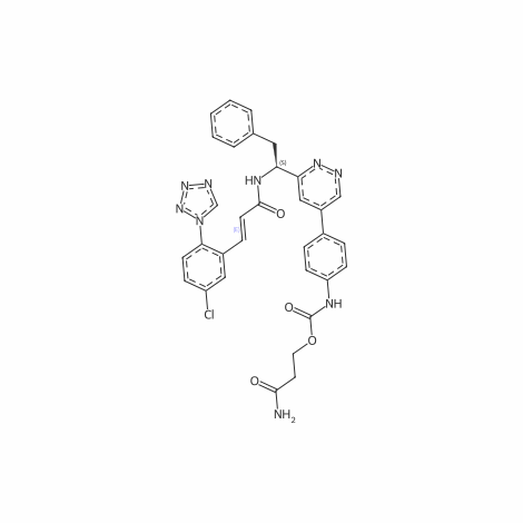 NC(=O)CCOC(=O)Nc1ccc(-c2cnnc([C@H](Cc3ccccc3)NC(=O)/C=C/c3cc(Cl)ccc3-n3cnnn3)c2)cc1